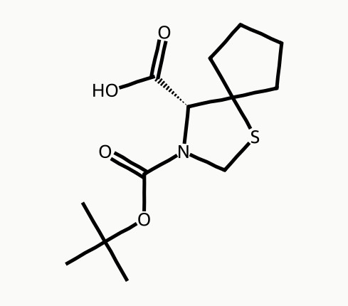 CC(C)(C)OC(=O)N1CSC2(CCCC2)[C@H]1C(=O)O